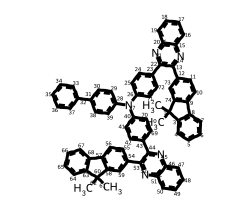 CC1(C)c2ccccc2-c2ccc(-c3nc4ccccc4nc3-c3ccc(N(c4ccc(-c5ccccc5)cc4)c4ccc(-c5nc6ccccc6nc5-c5ccc6c(c5)C(C)(C)c5ccccc5-6)cc4)cc3)cc21